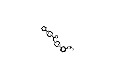 O=C(CN1CCN(c2cccc(C(F)(F)F)c2)CC1)N1CCN(C2CCCC2)CC1